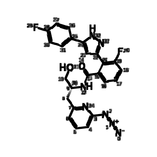 [N-]=[N+]=Nc1cccc(C[C@H](CO)NC(=O)c2cccc(F)c2-c2cc(-c3ccc(F)cc3)[nH]n2)n1